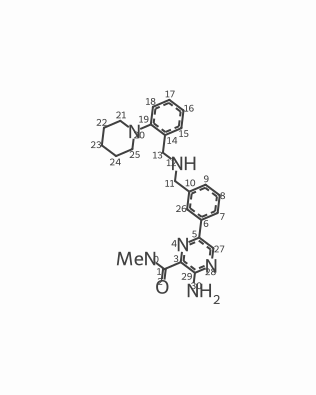 CNC(=O)c1nc(-c2cccc(CNCc3ccccc3N3CCCCC3)c2)cnc1N